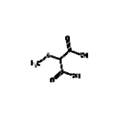 CSC(C(=O)O)C(=O)O